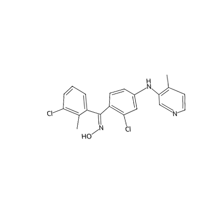 Cc1ccncc1Nc1ccc(C(=NO)c2cccc(Cl)c2C)c(Cl)c1